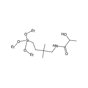 CCO[Si](CCC(C)(C)CNC(=O)C(C)O)(OCC)OCC